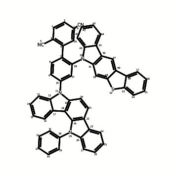 N#Cc1ccc(C#N)c(-c2ccc(-n3c4ccccc4c4c3ccc3c5ccccc5n(-c5ccccc5)c34)cc2-n2c3ccccc3c3cc4c(cc32)sc2ccccc24)c1